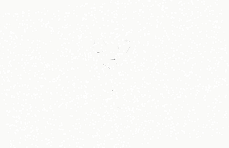 CC1(C2CN(C=O)CCS2)COC(c2nc(-c3ccc(F)cc3)c(-c3ccncc3)[nH]2)OC1